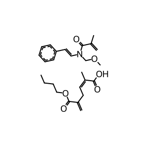 C=C(C)C(=O)N(C=Cc1ccccc1)COC.C=C(CC=C(C)C(=O)O)C(=O)OCCCC